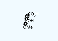 COc1ccc(-n2nc3c(c2O)CN(C(=O)O)CC3)cc1